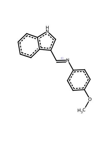 COc1ccc(/N=C/c2c[nH]c3ccccc23)cc1